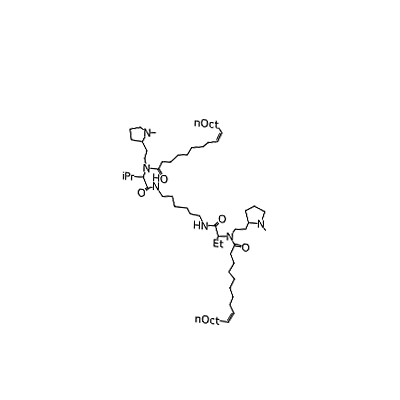 CCCCCCCC/C=C\CCCCCCCC(=O)N(CCC1CCCN1C)C(CC)C(=O)NCCCCCCNC(=O)C(C(C)C)N(CCC1CCCN1C)C(=O)CCCCCCC/C=C\CCCCCCCC